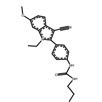 CCCNC(=O)Nc1ccc(-c2c(C#N)c3ccc(OC)cc3n2CC)cc1